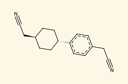 N#CCc1ccc([C@H]2CC[C@H](CC#N)CC2)cc1